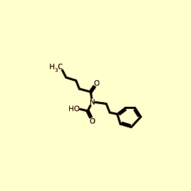 CCCCC(=O)N(CCc1ccccc1)C(=O)O